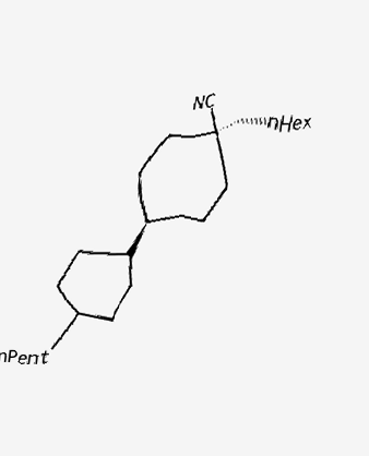 CCCCCC[C@]1(C#N)CC[C@@H](C2CCC(CCCCC)CC2)CC1